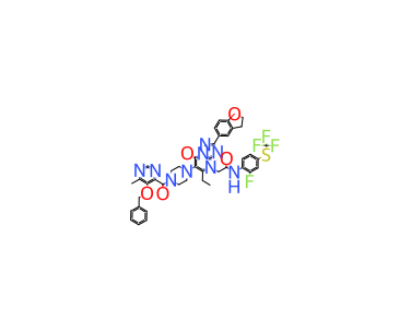 CCc1c(N2CCN(C(=O)c3ncnc(C)c3OCc3ccccc3)CC2)c(=O)n2nc(-c3ccc4c(c3)CCO4)nc2n1CC(=O)Nc1ccc(SC(F)(F)F)cc1F